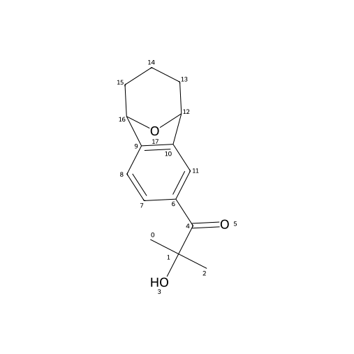 CC(C)(O)C(=O)c1ccc2c(c1)C1CCCC2O1